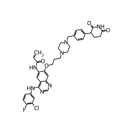 C=CC(=O)Nc1cc2c(Nc3ccc(F)c(Cl)c3)ncnc2cc1OCCCN1CCN(Cc2ccc(C3CCC(=O)NC3=O)cc2)CC1